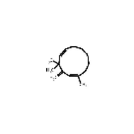 C=C1C=C(C)CCCCCC=CC1(C)C